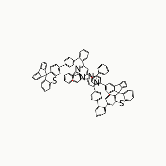 c1ccc(-c2cc(-c3ccc(-c4ccccc4-c4ccc5c(c4)Sc4ccccc4C54c5ccccc5-c5cc(-c6ccc(-c7cc(-c8ccccc8-c8ccc(-c9ccc%10c(c9)Sc9ccccc9C%109c%10ccccc%10-c%10ccccc%109)cc8)nc(-c8ccccc8)n7)cc6)ccc54)cc3)nc(-c3ccccc3)n2)cc1